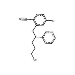 N#Cc1ccc(Cl)cc1OC(CCCO)c1cccnc1